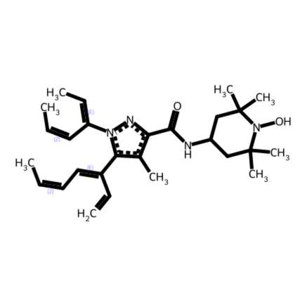 C=C/C(=C\C=C/C)c1c(C)c(C(=O)NC2CC(C)(C)N(O)C(C)(C)C2)nn1C(/C=C\C)=C/C